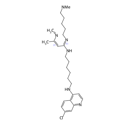 C=N/C(C)=C\C(=N/CCCCCNC)NCCCCCCNc1ccnc2cc(Cl)ccc12